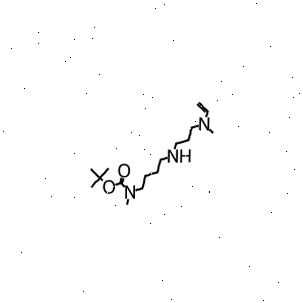 C=CN(C)CCCNCCCCN(C)C(=O)OC(C)(C)C